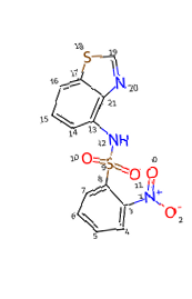 O=[N+]([O-])c1ccccc1S(=O)(=O)Nc1cccc2scnc12